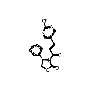 O=C(/C=C/c1cnc(C(F)(F)F)nc1)N1C(=O)OC[C@H]1c1ccccc1